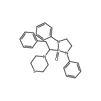 O=P1(C(Cc2ccccc2)N2CCSCC2)N(c2ccccc2)CCN1c1ccccc1